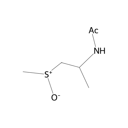 CC(=O)NC(C)C[S+](C)[O-]